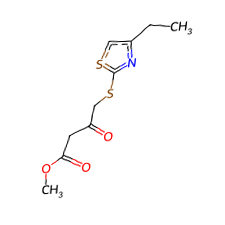 CCc1csc(SCC(=O)CC(=O)OC)n1